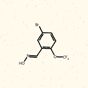 ON=Cc1cc(Br)ccc1OC(F)(F)F